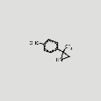 O=[C]c1ccc(C2(C(F)(F)F)CN2)cc1